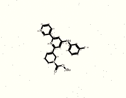 CC(C)(C)OC(=O)N1CCC=C(c2cc(Nc3cccc(F)c3)cc(-c3cccnc3)n2)C1